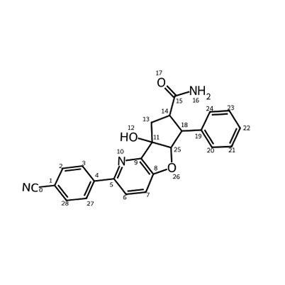 N#Cc1ccc(-c2ccc3c(n2)C2(O)CC(C(N)=O)C(c4ccccc4)C2O3)cc1